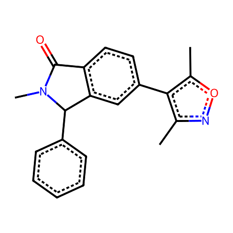 Cc1noc(C)c1-c1ccc2c(c1)C(c1ccccc1)N(C)C2=O